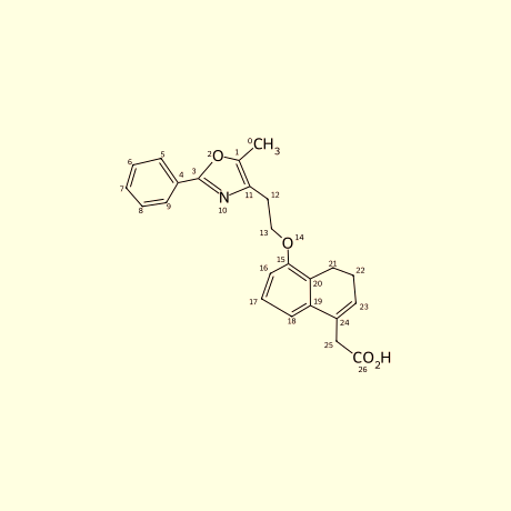 Cc1oc(-c2ccccc2)nc1CCOc1cccc2c1CCC=C2CC(=O)O